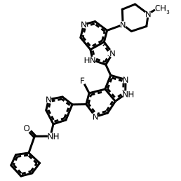 CN1CCN(c2cncc3[nH]c(-c4n[nH]c5cnc(-c6cncc(NC(=O)c7ccccc7)c6)c(F)c45)nc23)CC1